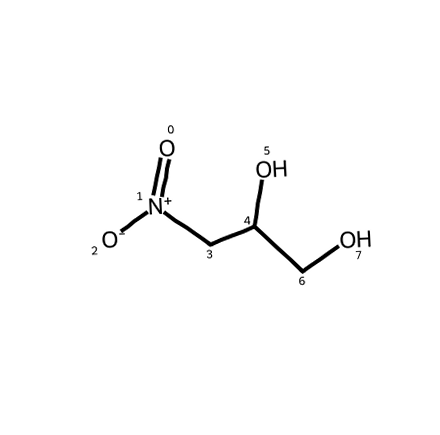 O=[N+]([O-])CC(O)CO